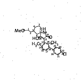 COCCC1CCCC2(C1)NC(=O)C(c1c(C)ccc(-c3ccc(Cl)cc3)c1C)=C2O